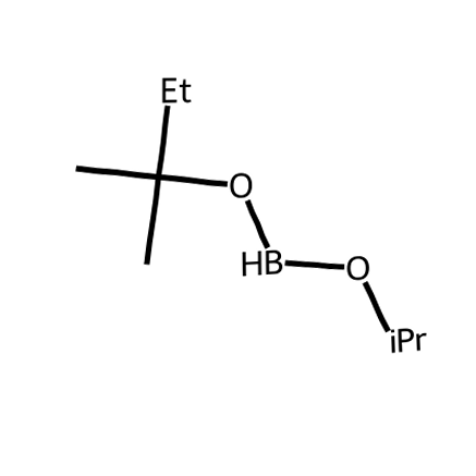 CCC(C)(C)OBOC(C)C